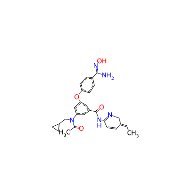 C/C=C1\C=CC(NC(=O)c2cc(Oc3ccc(/C(N)=N/O)cc3)cc(N(CC3CC3)C(C)=O)c2)=NC1